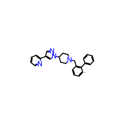 [c]1cccc(CN2CCC(n3cc(-c4ccccn4)cn3)CC2)c1-c1ccccc1